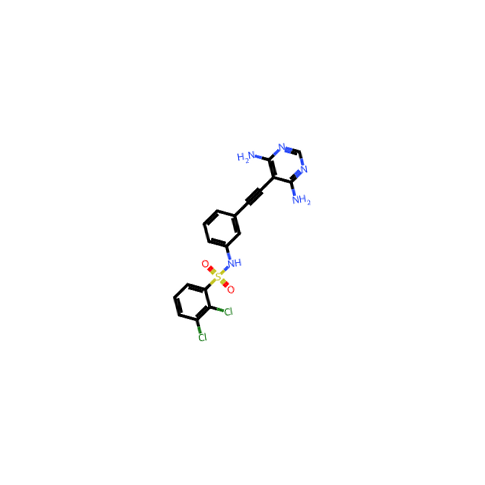 Nc1ncnc(N)c1C#Cc1cccc(NS(=O)(=O)c2cccc(Cl)c2Cl)c1